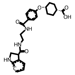 O=C(NCCNC(=O)C1CNc2ccccc21)c1ccc(O[C@H]2CC[C@@H](C(=O)O)CC2)cc1